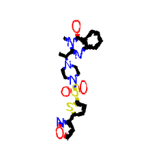 CC(c1nc2ccccc2c(=O)n1C)N1CCN(S(=O)(=O)c2ccc(-c3ccon3)s2)CC1